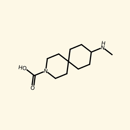 CNC1CCC2(CC1)CCN(C(=O)O)CC2